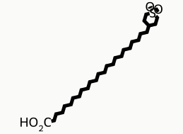 O=C(O)CCCCCCCCCCCCCCCCCCCCCCCC1CCS(=O)(=O)CC1